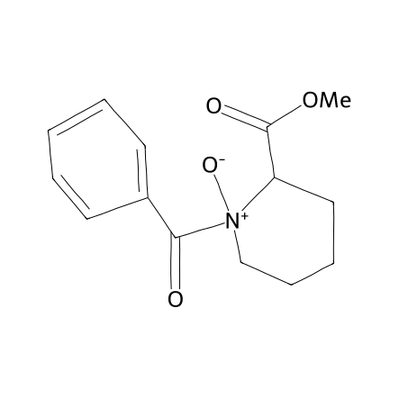 COC(=O)C1CCCC[N+]1([O-])C(=O)c1ccccc1